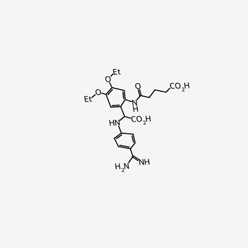 CCOc1cc(NC(=O)CCCC(=O)O)c(C(Nc2ccc(C(=N)N)cc2)C(=O)O)cc1OCC